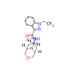 [2H]C([2H])([2H])N1[C@@H]2COC[C@H]1C[C@@H](NC(=O)c1nn(CC(F)(F)F)c3ccccc13)C2